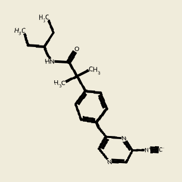 [C-]#[N+]c1cncc(-c2ccc(C(C)(C)C(=O)NC(CC)CC)cc2)n1